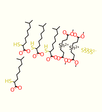 CC(C)CCCCCC(S)C(=O)[O-].CC(C)CCCCCC(S)C(=O)[O-].CC(C)CCCCCC(S)C(=O)[O-].CC(C)CCCCCC(S)C(=O)[O-].COC(=O)C[CH2][Sn+2][CH2]CC(=O)OC.COC(=O)C[CH2][Sn+2][CH2]CC(=O)OC.[S-2].[S-2].[S-2].[S-2]